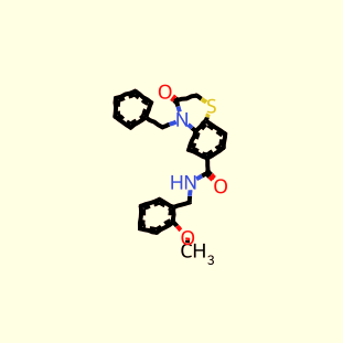 COc1ccccc1CNC(=O)c1ccc2c(c1)N(Cc1ccccc1)C(=O)CS2